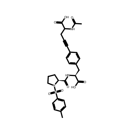 CC(=O)NC(CC#Cc1ccc(C[C@H](NC(=O)[C@@H]2CCCN2S(=O)(=O)c2ccc(C)cc2)C(=O)O)cc1)C(=O)O